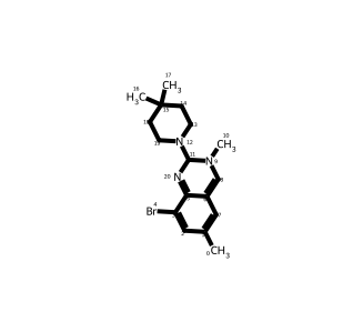 Cc1cc(Br)c2c(c1)=CN(C)C(N1CCC(C)(C)CC1)N=2